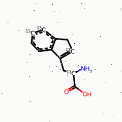 N[13CH](CC1=[13CH]Cc2[13cH][13cH]ccc21)C(=O)O